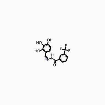 O=C(N/N=C\c1ccc(O)c(O)c1O)c1cccc(C(F)(F)F)c1